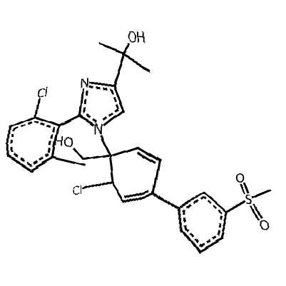 Cc1cccc(Cl)c1-c1nc(C(C)(C)O)cn1C1(CO)C=CC(c2cccc(S(C)(=O)=O)c2)=CC1Cl